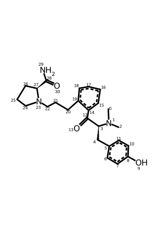 CN(C)[C@@H](Cc1ccc(O)cc1)C(=O)c1ccccc1CCCN1CCC[C@H]1C(N)=O